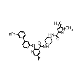 [CH2]CCc1cccc(-c2cccc(Oc3ncc(F)cc3C(=O)NC3CCC(NC(=O)c4cc(C)n(C)n4)CC3)c2)c1